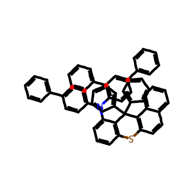 c1ccc(-c2ccc(N(c3ccc(-c4ccccc4)cc3-c3ccccc3)c3cccc4c3C(c3ccccc3)(c3ccccc3)c3c(ccc5ccccc35)S4)cc2)cc1